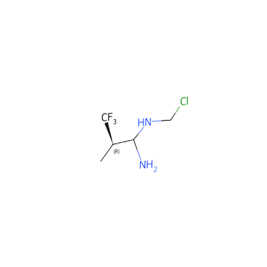 C[C@H](C(N)NCCl)C(F)(F)F